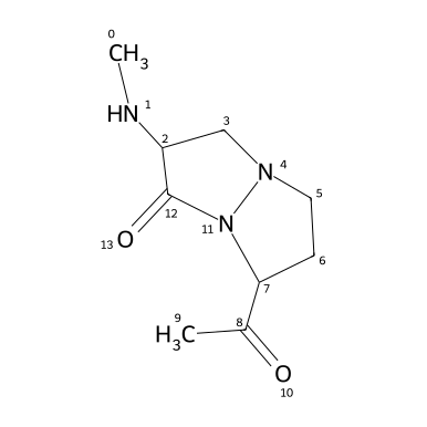 CNC1CN2CCC(C(C)=O)N2C1=O